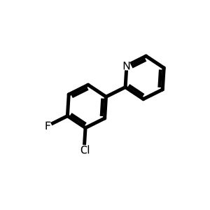 Fc1ccc(-c2ccccn2)cc1Cl